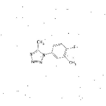 Cc1cc(-n2nnnc2C)ccc1F